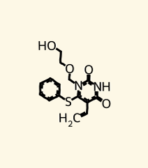 C=Cc1c(Sc2ccccc2)n(COCCO)c(=O)[nH]c1=O